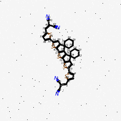 N#CC(C#N)=Cc1ccc(-c2cc3c(s2)-c2sc4c(c2C32CCCCC2)C2(CCCCC2)c2cc(-c3ccc(C=C(C#N)C#N)s3)sc2-4)s1